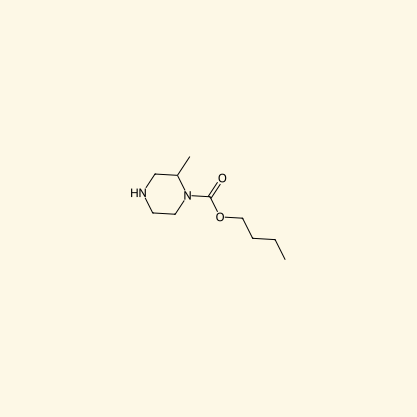 CCCCOC(=O)N1CCNCC1C